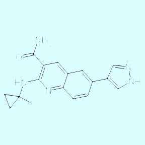 CC1(Nc2nc3ccc(-c4cn[nH]c4)cc3cc2C(N)=O)CC1